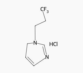 Cl.FC(F)(F)CCN1C=NC=CC1